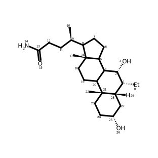 CC[C@H]1[C@@H](O)C2C3CCC([C@H](C)CCC(N)=O)[C@@]3(C)CCC2[C@@]2(C)CC[C@@H](O)C[C@@H]12